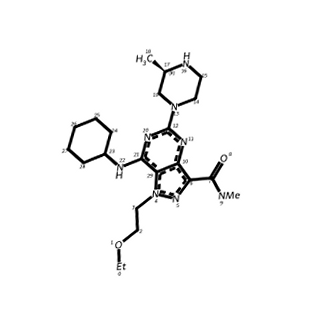 CCOCCn1nc(C(=O)NC)c2nc(N3CCN[C@H](C)C3)nc(NC3CCCCC3)c21